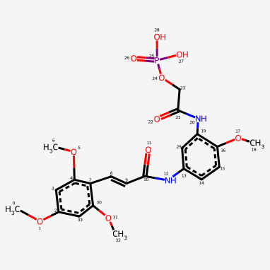 COc1cc(OC)c(C=CC(=O)Nc2ccc(OC)c(NC(=O)COP(=O)(O)O)c2)c(OC)c1